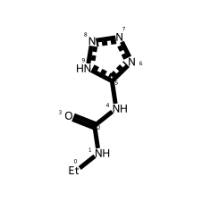 CCNC(=O)Nc1nnn[nH]1